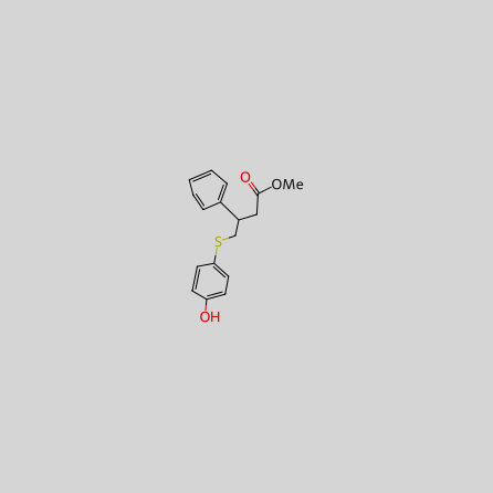 COC(=O)CC(CSc1ccc(O)cc1)c1ccccc1